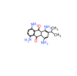 CC(C)C1=C(N)C2C(=O)c3c(N)ccc(N)c3C(=O)C2C(N)=C1